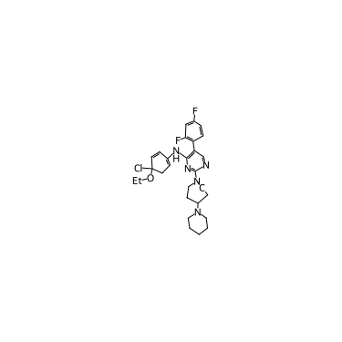 CCOC1(Cl)C=CC(Nc2nc(N3CCC(N4CCCCC4)CC3)ncc2-c2ccc(F)cc2F)=CC1